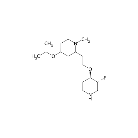 CC(C)OC1CCN(C)C(CCO[C@@H]2CCNC[C@H]2F)C1